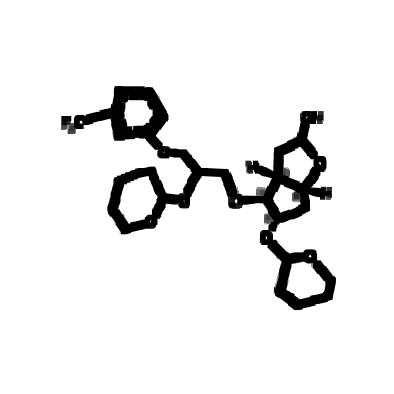 OC1C[C@H]2[C@H](OCC(COc3cccc(C(F)(F)F)c3)OC3CCCCO3)[C@@H](OC3CCCCO3)C[C@H]2O1